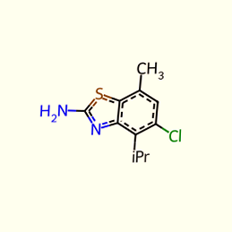 Cc1cc(Cl)c(C(C)C)c2nc(N)sc12